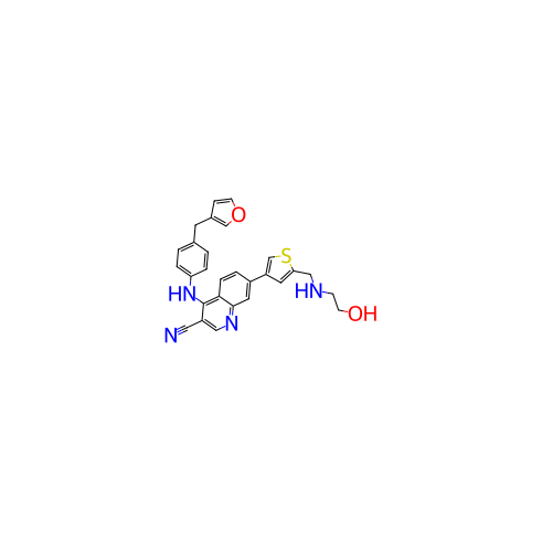 N#Cc1cnc2cc(-c3csc(CNCCO)c3)ccc2c1Nc1ccc(Cc2ccoc2)cc1